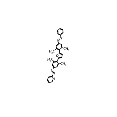 Cc1cc(/N=N/c2ccccn2)cc(C)c1-c1ccc(-c2c(C)cc(/N=N/c3ccccn3)cc2C)o1